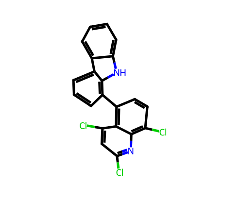 Clc1cc(Cl)c2c(-c3cccc4c3[nH]c3ccccc34)ccc(Cl)c2n1